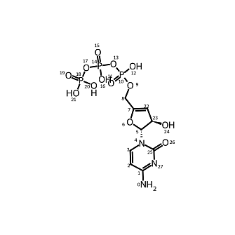 Nc1ccn([C@@H]2OC(COP(=O)(O)OP(=O)(O)OP(=O)(O)O)=C[C@H]2O)c(=O)n1